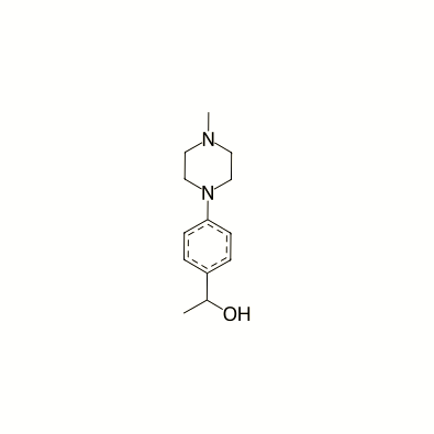 CC(O)c1ccc(N2CCN(C)CC2)cc1